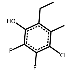 CCc1c(C)c(Cl)c(F)c(F)c1O